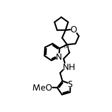 COc1ccsc1CNCC[C@]1(c2ccccn2)CCOC2(CCCC2)C1